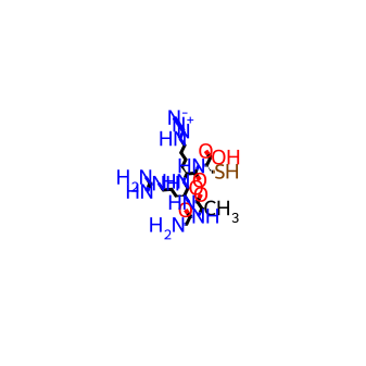 C[C@H](NC(=O)CN)C(=O)N[C@@H](CCCNC(=N)N)C(=O)N[C@@H](CCCCNN=[N+]=[N-])C(=O)N[C@@H](CS)C(=O)O